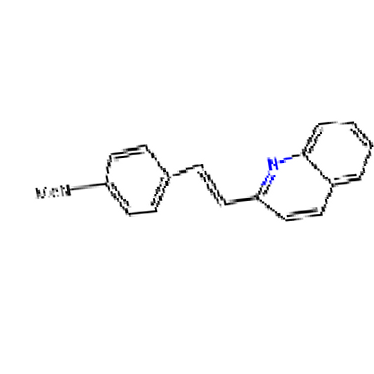 CNc1ccc(C=Cc2ccc3ccccc3n2)cc1